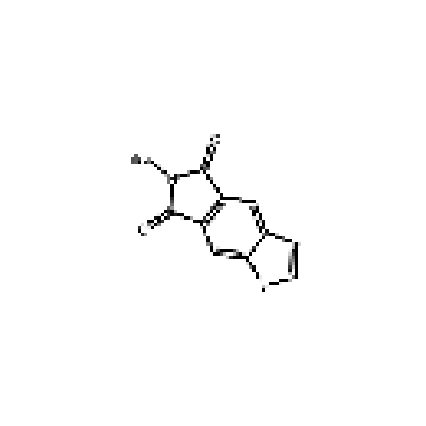 CCCCN1C(=O)c2cc3ccsc3cc2C1=O